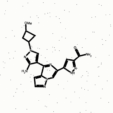 COC1CC(n2cc(-c3nc(-c4cc(C(N)=O)n[nH]4)cn4nccc34)c(N)n2)C1